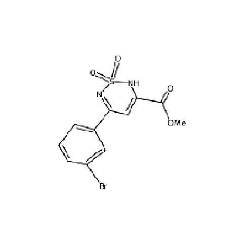 COC(=O)C1=CC(c2cccc(Br)c2)=NS(=O)(=O)N1